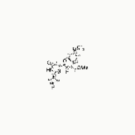 COCC(NC(=O)c1cc(=O)[nH]c(N2CC(F)C2)n1)c1ccc(OC(F)(F)F)cc1